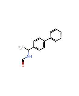 CC(NC=O)c1ccc(-c2ccccc2)cc1